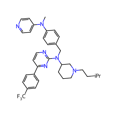 CC(C)CCN1CCCC(N(Cc2ccc(N(C)c3ccncc3)cc2)c2nccc(-c3ccc(C(F)(F)F)cc3)n2)C1